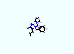 CCCC1=C(C)N=C[N+]1(Cc1ccccc1)C(=O)n1ccnc1